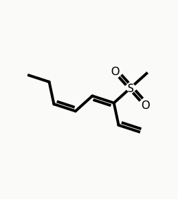 C=C/C(=C\C=C/CC)S(C)(=O)=O